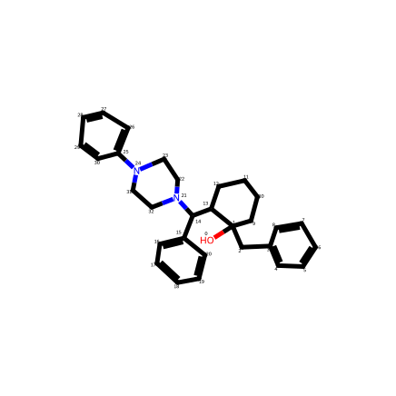 OC1(Cc2ccccc2)CCCCC1C(c1ccccc1)N1CCN(c2ccccc2)CC1